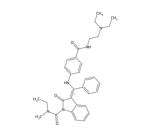 CCN(CC)CCNC(=O)c1ccc(N/C(=C2\C(=O)N(C(=O)N(C)CC)c3ccccc32)c2ccccc2)cc1